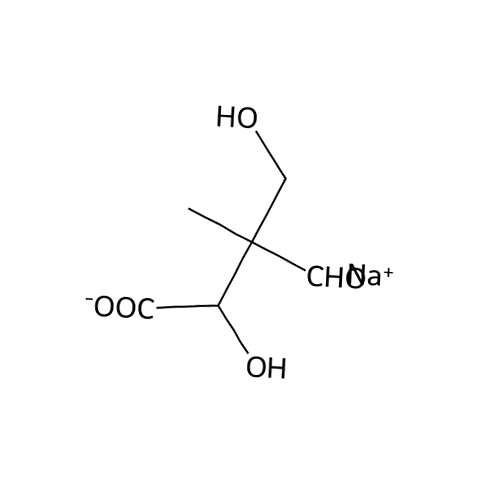 CC(C=O)(CO)C(O)C(=O)[O-].[Na+]